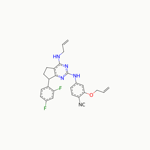 [C-]#[N+]c1ccc(Nc2nc(NCC=C)c3c(n2)C(c2ccc(F)cc2F)CC3)cc1OCC=C